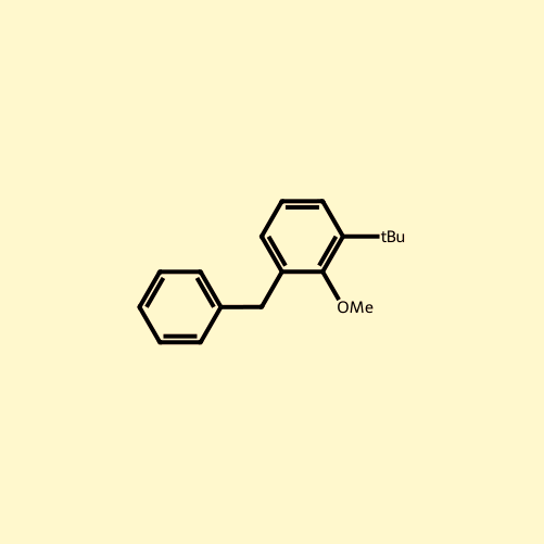 COc1c(Cc2ccccc2)cccc1C(C)(C)C